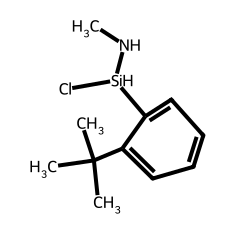 CN[SiH](Cl)c1ccccc1C(C)(C)C